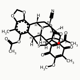 COC1=C(C)C(=O)C2=C(C1=O)[C@@H]1[C@@H]3[C@@H]4SCC(NC(C)=O)C(=O)OC[C@@H](c5c6c(c(C)c(OC(C)=O)c54)OCO6)N3[C@@H](C#N)[C@@H](C2)N1C